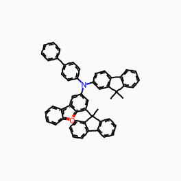 CC1(C)c2ccccc2-c2ccc(N(c3ccc(-c4ccccc4)cc3)c3cc(C4(C)c5ccccc5-c5ccccc54)c4oc5ccccc5c4c3)cc21